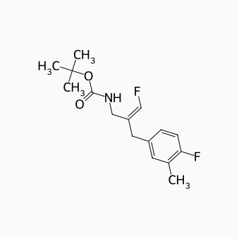 Cc1cc(CC(=CF)CNC(=O)OC(C)(C)C)ccc1F